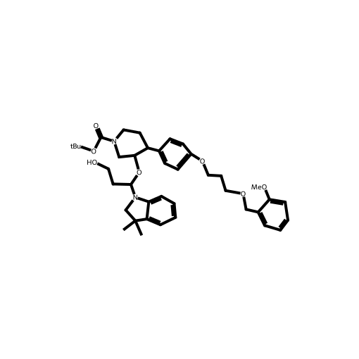 COc1ccccc1COCCCOc1ccc(C2CCN(C(=O)OC(C)(C)C)CC2OC(CCO)N2CC(C)(C)c3ccccc32)cc1